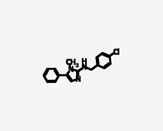 Cn1c(-c2ccccc2)cnc1NCc1ccc(Cl)cc1